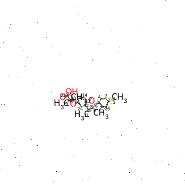 CSc1ccc(C(=O)C(C)C(C)c2cccc(OC(C)(C)C(=O)O)c2)cc1